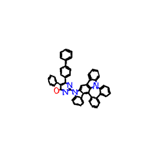 c1ccc(-c2ccc(-c3nc(-n4c5ccccc5c5c6c7c(cc54)c4ccccc4n7-c4ccccc4-c4ccccc4-6)nc4oc5ccccc5c34)cc2)cc1